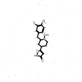 CC(=O)ON1CCC(c2cc(=O)[nH]o2)CC1Cc1ccc(C(F)(F)F)c(F)c1